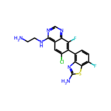 NCCNc1ncnc2c(F)c(-c3ccc(F)c4sc(N)nc34)c(Cl)cc12